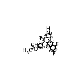 CC(C)Oc1ccc(CC(=O)N(Cc2ccc(F)cc2F)[C@H]2CCNC[C@H]2CF)cc1